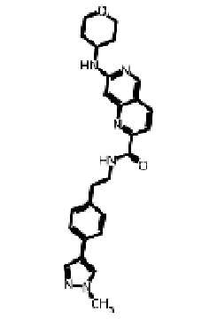 Cn1cc(-c2ccc(CCNC(=O)c3ccc4cnc(NC5CCOCC5)cc4n3)cc2)cn1